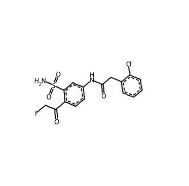 NS(=O)(=O)c1cc(NC(=O)Cc2ccccc2Cl)ccc1C(=O)CI